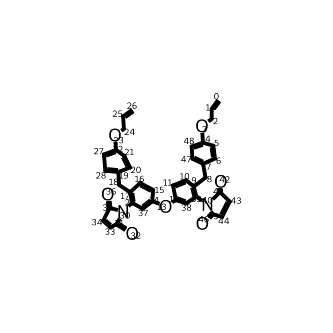 C=CCOc1ccc(Cc2ccc(Oc3ccc(Cc4ccc(OCC=C)cc4)c(N4C(=O)C=CC4=O)c3)cc2N2C(=O)C=CC2=O)cc1